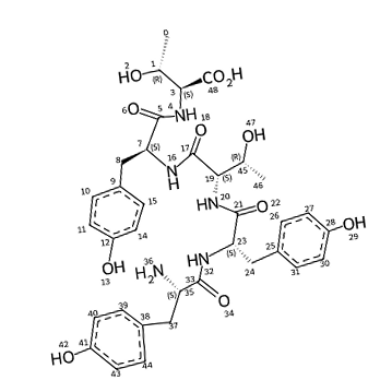 C[C@@H](O)[C@H](NC(=O)[C@H](Cc1ccc(O)cc1)NC(=O)[C@@H](NC(=O)[C@H](Cc1ccc(O)cc1)NC(=O)[C@@H](N)Cc1ccc(O)cc1)[C@@H](C)O)C(=O)O